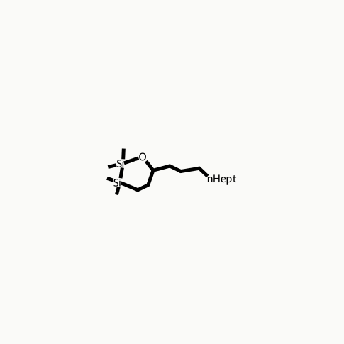 CCCCCCCCCCC1CC[Si](C)(C)[Si](C)(C)O1